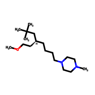 COCC[C@@H](CCCCN1CCN(C)CC1)CC(C)(C)C